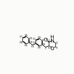 O=C1NCCOC1Cc1cccc(Cc2ccccc2)c1